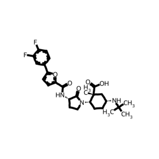 CC(C)(C)N[C@@H]1CC[C@H](N2CC[C@H](NC(=O)c3ccc(-c4ccc(F)c(F)c4)o3)C2=O)[C@](C)(C(=O)O)C1